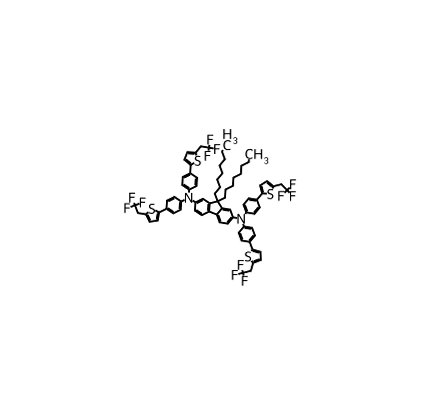 CCCCCCCCC1(CCCCCCCC)c2cc(N(c3ccc(-c4ccc(CC(F)(F)F)s4)cc3)c3ccc(-c4ccc(CC(F)(F)F)s4)cc3)ccc2-c2ccc(N(c3ccc(-c4ccc(CC(F)(F)F)s4)cc3)c3ccc(-c4ccc(CC(F)(F)F)s4)cc3)cc21